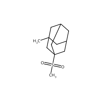 CC12CC3CC(C1)CC(S(C)(=O)=O)(C3)C2